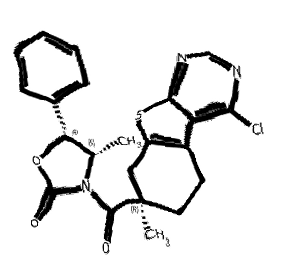 C[C@H]1[C@@H](c2ccccc2)OC(=O)N1C(=O)[C@]1(C)CCc2c(sc3ncnc(Cl)c23)C1